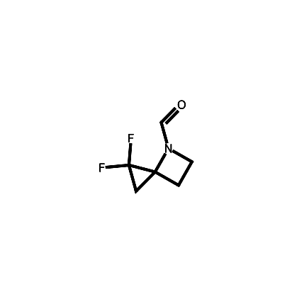 O=CN1CCC12CC2(F)F